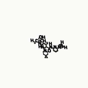 CC(C)(CO)Nc1ccc(C(=O)Nc2cccc(N3C[C@H]4C5C3[C@H]54)n2)c(N2CCC3(CC2)CC3)n1